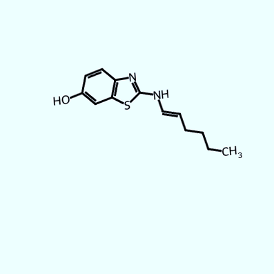 CCCCC=CNc1nc2ccc(O)cc2s1